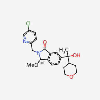 CO[C@@H]1c2ccc(C(C)(O)C3CCOCC3)cc2C(=O)N1Cc1ccc(Cl)cn1